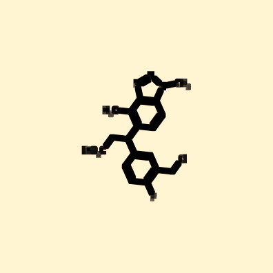 CCOC(=O)CC(c1ccc(F)c(CCl)c1)c1ccc2c(nnn2C)c1C